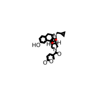 O=C(c1ccc(=O)oc1)N1C[C@H]2CC34CCC1[C@H]2C31CCN(CC2CC2)C4Cc2ccc(O)cc21